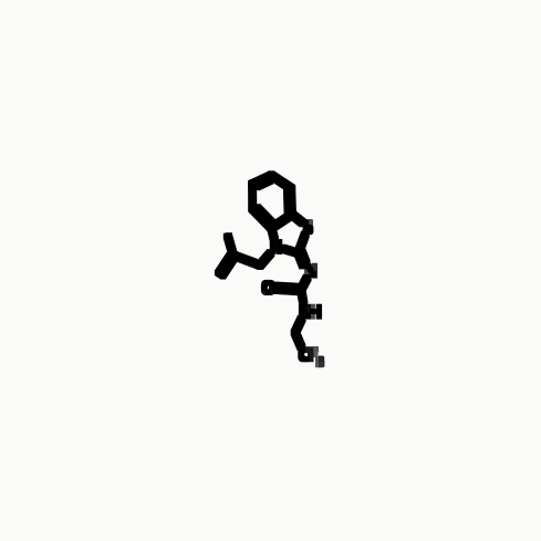 C=C(C)Cn1c(=NC(=O)NCC(F)(F)F)sc2ccccc21